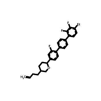 C=CCCC1CCC(c2ccc(-c3ccc(-c4ccc(CC)c(F)c4F)cc3)c(F)c2)OC1